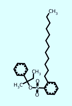 CCCCCCCCCCCCc1ccccc1S(=O)(=O)OC(C)(CC)c1ccccc1